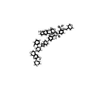 COc1cc2c(nc1N1CCOCC1)COC[C@@H]2N1CCN(C2CC3(CCN(c4ccc(C(=O)NS(=O)(=O)c5ccc(NCC6CCOCC6)c([N+](=O)[O-])c5)c(N5c6cc7cc[nH]c7nc6O[C@H]6COCC[C@@H]65)c4)CC3)C2)[C@H](c2ccccc2C)C1